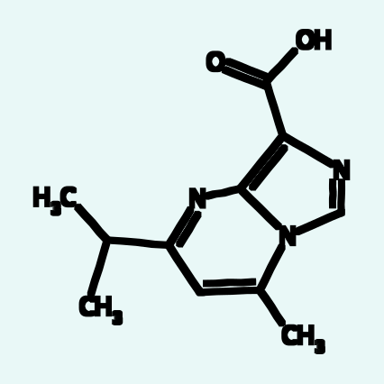 Cc1cc(C(C)C)nc2c(C(=O)O)ncn12